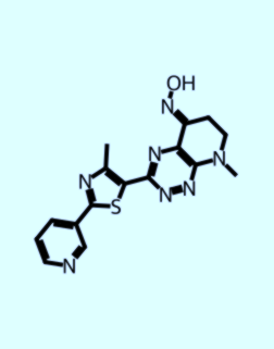 Cc1nc(-c2cccnc2)sc1-c1nnc2c(n1)/C(=N/O)CCN2C